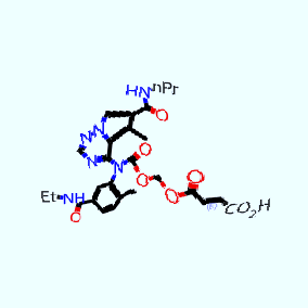 CCCNC(=O)c1cn2ncnc(N(C(=O)OCOC(=O)/C=C/C(=O)O)c3cc(C(=O)NCC)ccc3C)c2c1C